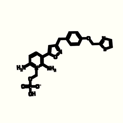 Nc1ccc(-c2cc(Cc3ccc(OCc4nccs4)cc3)no2)c(N)[n+]1COP(=O)([O-])O